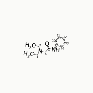 CCN(CC)CC(=O)Nc1[c]cccc1